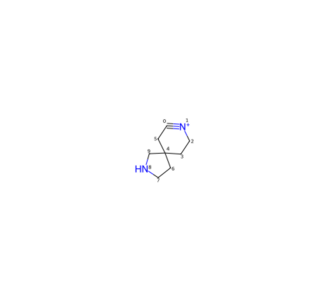 C1#[N+]CCC2(C1)CCNC2